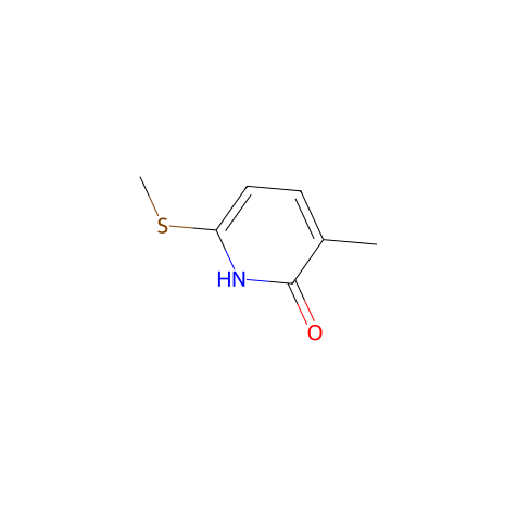 CSc1ccc(C)c(=O)[nH]1